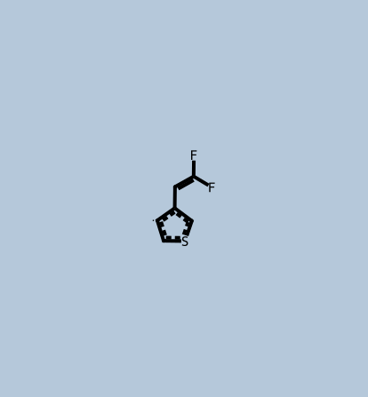 FC(F)=Cc1[c]csc1